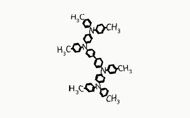 CC1=CC=C(N(c2ccc(C)cc2)c2ccc(N(c3ccc(C)cc3)c3ccc(C4=CC=C(N(c5ccc(C)cc5)C5C=CC(N(c6ccc(C)cc6)c6ccc(C)cc6)=CC5)CC4)cc3)cc2)CC1